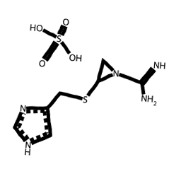 N=C(N)N1CC1SCc1c[nH]cn1.O=S(=O)(O)O